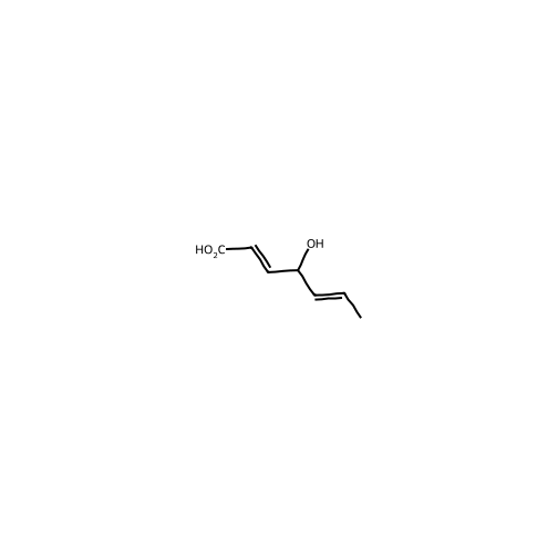 CC=CC(O)C=CC(=O)O